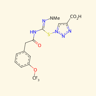 CN/N=C(/NC(=O)Cc1cccc(OC(F)(F)F)c1)Sn1cc(C(=O)O)nn1